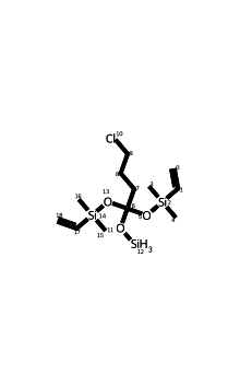 C=C[Si](C)(C)OC(CCCCl)(O[SiH3])O[Si](C)(C)C=C